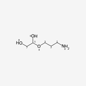 NCCCOC(O)CO